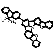 CC1(C)c2ccccc2-c2ccc(C3=CC4c5ccc6c(oc7ccccc76)c5N5c6c(ccc7c6OC6C=CC=CC76)C(=C3)C45)cc21